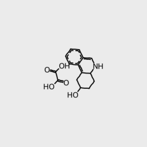 O=C(O)C(=O)O.OC1CCC2NC=c3ccccc3=C2C1